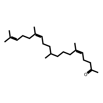 CC(=O)CCC=C(C)CCCC(C)CCC=C(C)CCC=C(C)C